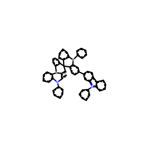 c1ccc(B2c3ccccc3C3(c4ccc(-c5ccc6c7ccccc7n(-c7ccccc7)c6c5)cc42)c2ccccc2B2c4ccccc4N(c4ccccc4)c4cccc3c42)cc1